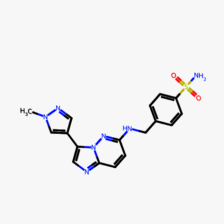 Cn1cc(-c2cnc3ccc(NCc4ccc(S(N)(=O)=O)cc4)nn23)cn1